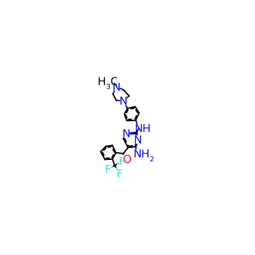 CN1CCN(c2ccc(Nc3ncc(C(=O)c4ccccc4C(F)(F)F)c(N)n3)cc2)CC1